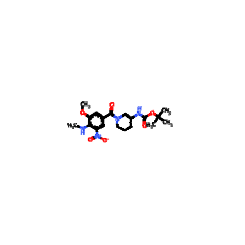 CNc1c(OC)cc(C(=O)N2CCCC(NC(=O)OC(C)(C)C)C2)cc1[N+](=O)[O-]